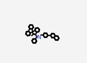 CC1=C(/C(=N\Cc2ccc(-c3ccc4ccccc4c3)cc2)c2ccccc2)c2ccccc2C12c1ccccc1-c1ccccc12